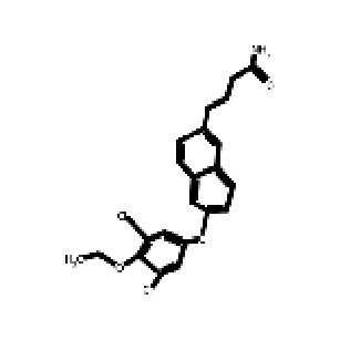 CCOc1c(Cl)cc(Oc2ccc3cc(CCCC(N)=O)ccc3c2)cc1Cl